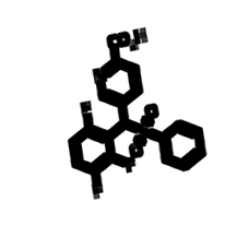 O=C(O)c1ccc(C(c2c(F)ccc(F)c2F)S(=O)(=O)c2ccccc2)cn1